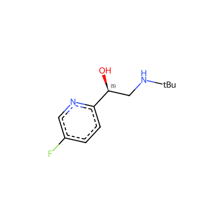 CC(C)(C)NC[C@H](O)c1ccc(F)cn1